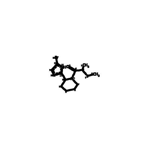 CSC(C)C(=O)N1CCCCC1c1ncc(Br)[nH]1